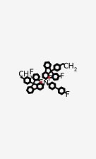 C=Cc1ccc(C2(c3cc(F)ccc3F)c3ccccc3-c3ccc(N(c4ccc(-c5ccc(F)cc5)cc4)c4ccc5c(c4)C(c4ccc(C=C)cc4)(c4cc(F)ccc4F)c4ccccc4-5)cc32)cc1